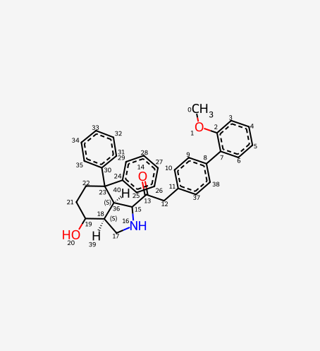 COc1ccccc1-c1ccc(CC(=O)C2NC[C@H]3C(O)CCC(c4ccccc4)(c4ccccc4)[C@@H]23)cc1